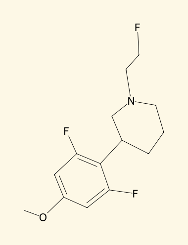 COc1cc(F)c(C2CCCN(CCF)C2)c(F)c1